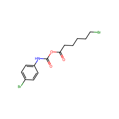 O=C(CCCCCBr)OC(=O)Nc1ccc(Br)cc1